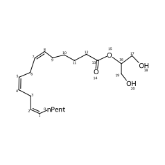 CCCCC/C=C\C/C=C\C/C=C\CCCCC(=O)OC(CO)CO